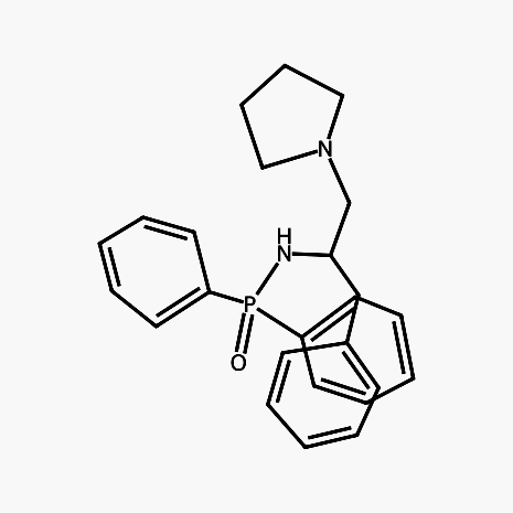 O=P(NC(Cc1ccccc1)CN1CCCC1)(c1ccccc1)c1ccccc1